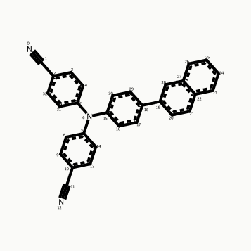 N#Cc1ccc(N(c2ccc(C#N)cc2)c2ccc(-c3ccc4ccccc4c3)cc2)cc1